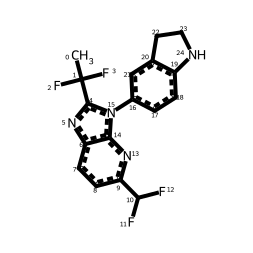 CC(F)(F)c1nc2ccc(C(F)F)nc2n1-c1ccc2c(c1)CCN2